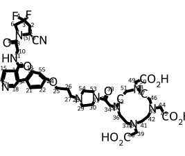 N#C[C@@H]1CC(F)(F)CN1C(=O)CNC(=O)c1ccncc1-c1ccc(OCCCN2CCN(C(=O)CN3CCN(CC(=O)O)CCN(CC(=O)O)CCN(CC(=O)O)CC3)CC2)cc1